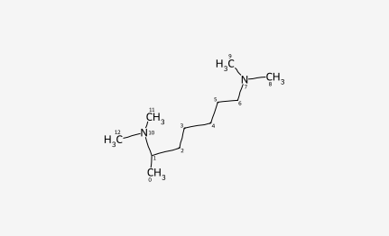 CC(CCCCCN(C)C)N(C)C